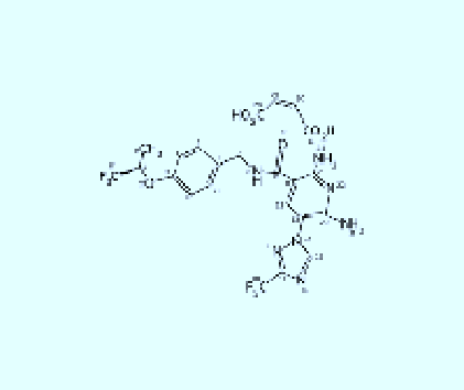 C[C@@H](Oc1ccc(CNC(=O)c2cc(-n3cnc(C(F)(F)F)n3)c(N)nc2N)cc1)C(F)(F)F.O=C(O)/C=C\C(=O)O